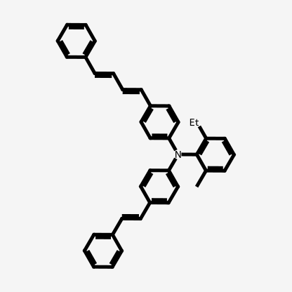 CCc1cccc(C)c1N(c1ccc(/C=C/C=C/c2ccccc2)cc1)c1ccc(/C=C/c2ccccc2)cc1